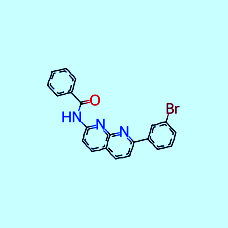 O=C(Nc1ccc2ccc(-c3cccc(Br)c3)nc2n1)c1ccccc1